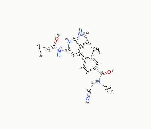 Cc1cc(C(=O)N(C)CC#N)ccc1-c1cc(NC(=O)C2CC2)nc2[nH]ccc12